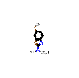 CC(C)(C)N(C(=O)O)c1nc2ccc(SC#N)cc2s1